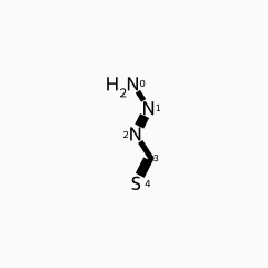 NN=NC=S